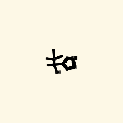 [CH2]C(O)(c1cn[nH]c1)[Si](C)(C)C